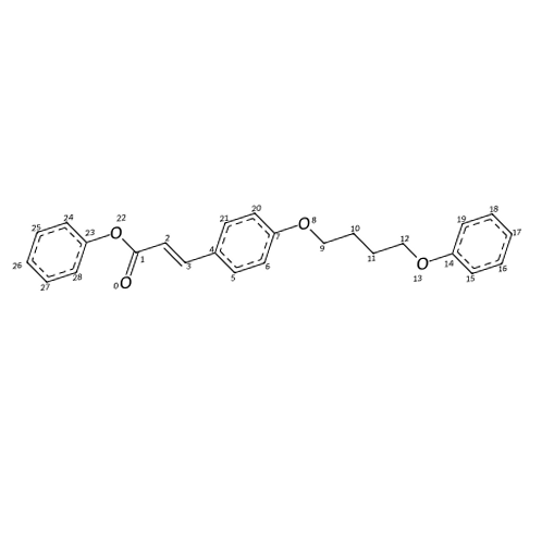 O=C(/C=C/c1ccc(OCCCCOc2ccccc2)cc1)Oc1ccccc1